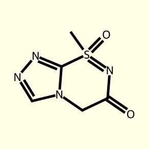 CS1(=O)=NC(=O)Cn2cnnc21